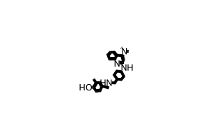 Cc1cc(CNCC2CCC(Nc3cc(N(C)C)c4ccccc4n3)CC2)ccc1O